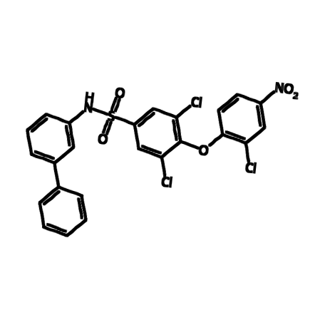 O=[N+]([O-])c1ccc(Oc2c(Cl)cc(S(=O)(=O)Nc3cccc(-c4ccccc4)c3)cc2Cl)c(Cl)c1